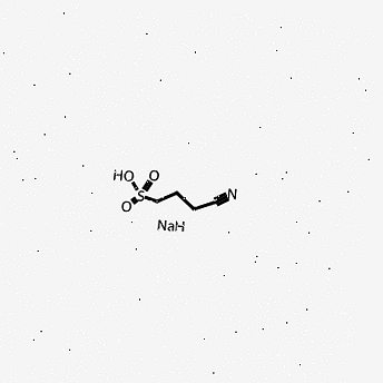 N#CCCCS(=O)(=O)O.[NaH]